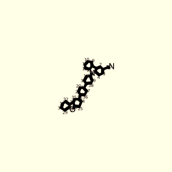 N#Cc1ccc2c(c1)c1ccccc1n2-c1ccc(-c2ccc(-c3ccc4oc5ccccc5c4c3)cc2)cc1